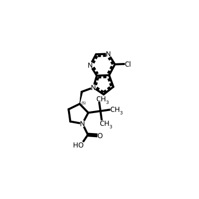 CC(C)(C)C1[C@H](Cn2ccc3c(Cl)ncnc32)CCN1C(=O)O